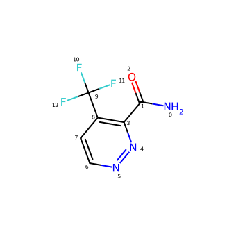 NC(=O)c1nnccc1C(F)(F)F